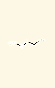 CCCC[N]O[C]=O